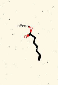 C=CCCCCC(=O)OCCCCC